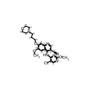 COc1ncc(Cl)c(Nc2c(C#N)cnc3cc(OCCCN4CCOCC4)c(OC)cc23)n1